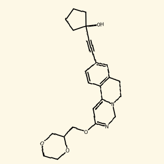 OC1(C#Cc2ccc3c(c2)CCN2CN=C(OCC4COCCO4)C=C32)CCCC1